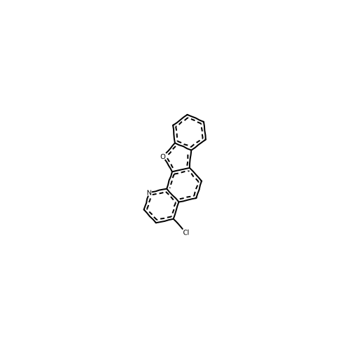 Clc1ccnc2c1ccc1c3ccccc3oc12